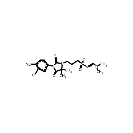 CN(C)/C=N/S(=O)(=O)CCCN1C(=S)N(c2ccc(C#N)c(Cl)c2)C(=O)C1(C)C